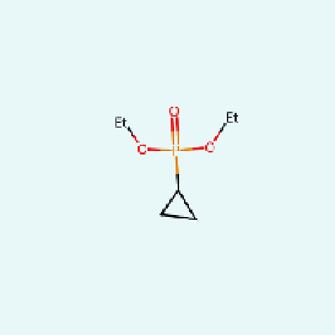 CCOP(=O)(OCC)C1CC1